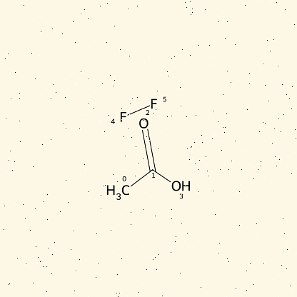 CC(=O)O.FF